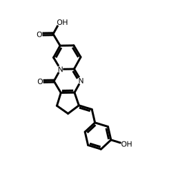 O=C(O)c1ccc2nc3c(c(=O)n2c1)CCC3=Cc1cccc(O)c1